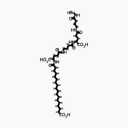 CCCCNC(=O)CCCNC(=O)CC[C@H](NC(=O)CCCNC(=O)CC[C@H](NC(=O)CCCCCCCCCCCCCCCCC(=O)O)C(=O)O)C(=O)O